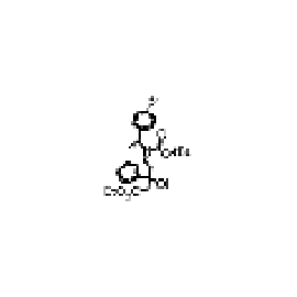 CCOC(=O)CC(O)(CCN(C(=O)OC(C)(C)C)[C@@H](C)c1ccc(Br)cc1)c1ccccc1